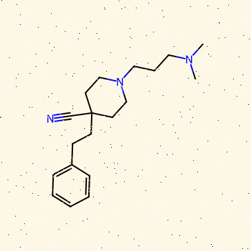 CN(C)CCCN1CCC(C#N)(CCc2ccccc2)CC1